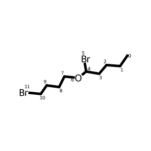 CCCCC(Br)OCCCCBr